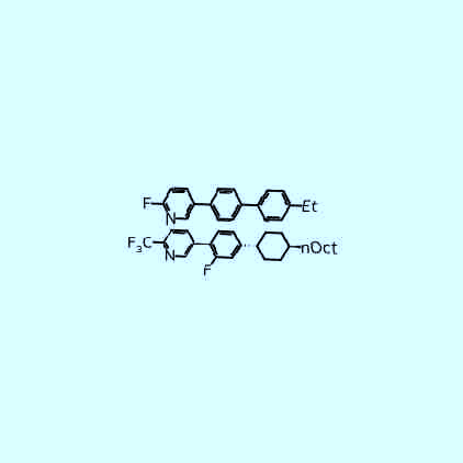 CCCCCCCC[C@H]1CC[C@H](c2ccc(-c3ccc(C(F)(F)F)nc3)c(F)c2)CC1.CCc1ccc(-c2ccc(-c3ccc(F)nc3)cc2)cc1